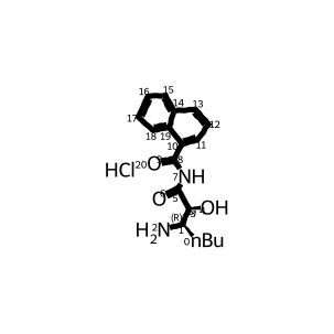 CCCC[C@@H](N)[C@H](O)C(=O)NC(=O)c1cccc2ccccc12.Cl